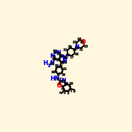 Cc1cc(C)c2oc(Nc3ccc(-c4nn([C@H]5CC[C@@H](N6CCOCC6)CC5)c5ncnc(N)c45)cc3)nc2c1